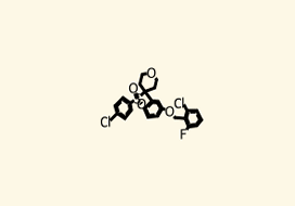 O=S(=O)(c1ccc(Cl)cc1)C1(c2cccc(OCc3c(F)cccc3Cl)c2)CCOCC1